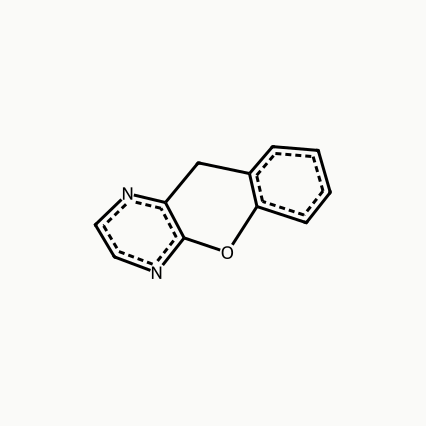 c1ccc2c(c1)Cc1nccnc1O2